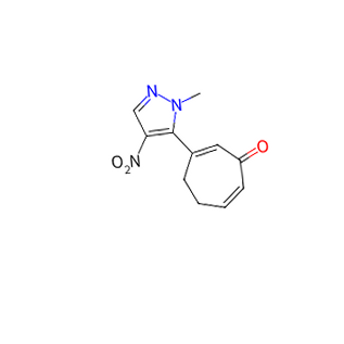 Cn1ncc([N+](=O)[O-])c1C1=CC(=O)C=CCC1